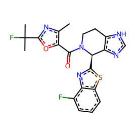 Cc1nc(C(C)(C)F)oc1C(=O)N1CCc2[nH]cnc2[C@H]1c1nc2c(F)cccc2s1